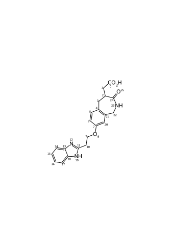 O=C(O)CC1Cc2ccc(OCCc3nc4ccccc4[nH]3)cc2CNC1=O